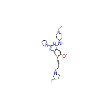 CCN1CCC(Nc2nc(N3CCCC3)nc3cc(C#CCCN4CC[C@H](F)C4)c(OC)cc23)CC1